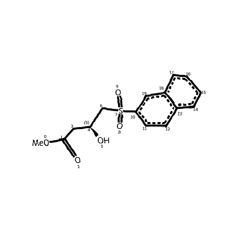 COC(=O)C[C@H](O)CS(=O)(=O)c1ccc2ccccc2c1